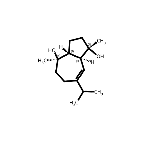 CC(C)C1=C[C@H]2[C@@H](CC[C@]2(C)O)[C@](C)(O)CC1